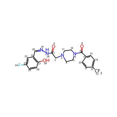 O=C(CN1CCN(C(=O)c2ccc(C(F)(F)F)cc2)CC1)N/N=C\c1cc(F)ccc1O